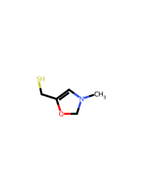 CN1C=C(CS)OC1